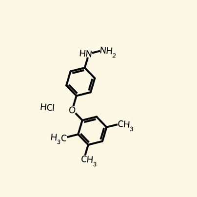 Cc1cc(C)c(C)c(Oc2ccc(NN)cc2)c1.Cl